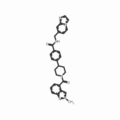 Cn1cc2c(C(=O)N3CCC(c4ccc(C(=O)NCc5ccn6ccnc6c5)cc4)CC3)cccc2n1